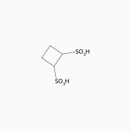 O=S(=O)(O)C1CCC1S(=O)(=O)O